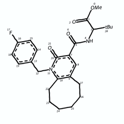 COC(=O)C(NC(=O)c1cc2c(n(Cc3ccc(F)cc3)c1=O)CCCCCC2)C(C)(C)C